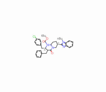 CCCCn1c([C@@H]2CCCN(C(=O)C(Cc3ccccc3)[C@@H](Cc3ccc(Cl)cc3)NC(=O)OC(C)(C)C)C2)nc2ccccc21